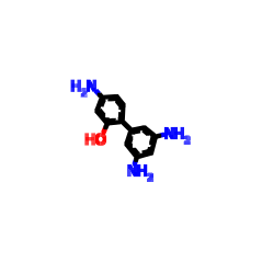 Nc1cc(N)cc(-c2ccc(N)cc2O)c1